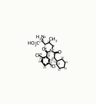 CC(C[C@@H](N)C(=O)O)CN(C(=O)CC1CCCCC1)C(=O)c1cc(Cl)ccc1Cl